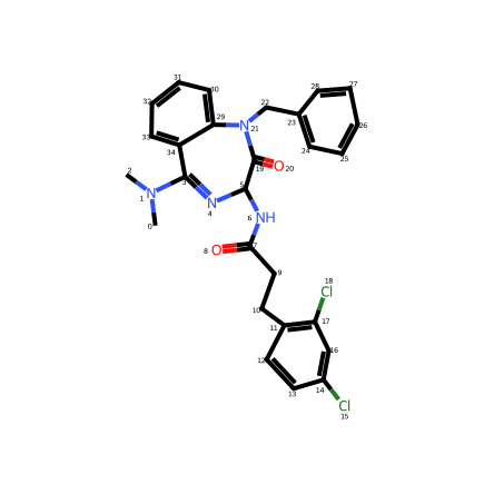 CN(C)C1=NC(NC(=O)CCc2ccc(Cl)cc2Cl)C(=O)N(Cc2ccccc2)c2ccccc21